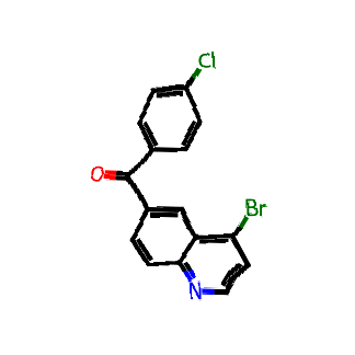 O=C(c1ccc(Cl)cc1)c1ccc2nccc(Br)c2c1